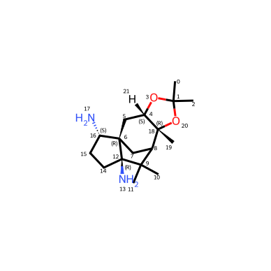 CC1(C)O[C@H]2C[C@@]34CC(C(C)(C)[C@]3(N)CC[C@@H]4N)[C@@]2(C)O1